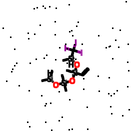 C=C[Si](C)(O[SiH](C)C(I)(I)I)O[Si](C)(C)O[SiH](C)C